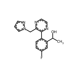 CC(O)c1cc(F)ccc1-c1nccnc1Cn1cccn1